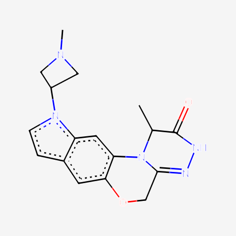 CC1C(=O)NN=C2COc3cc4ccn(C5CN(C)C5)c4cc3N21